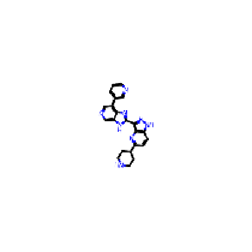 c1cncc(-c2cncc3[nH]c(-c4n[nH]c5ccc(C6CCNCC6)nc45)nc23)c1